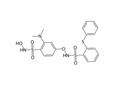 CN(C)c1cc(ONS(=O)(=O)c2ccccc2Sc2ccccc2)ccc1S(=O)(=O)NO